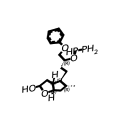 C[C@@H]1C[C@@H]2OC(O)C[C@@H]2[C@H]1CC[C@H](COc1ccccc1)OPP